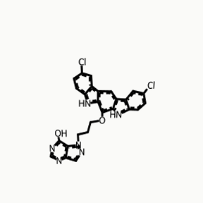 Oc1ncnc2cnn(CCCOc3c4[nH]c5ccc(Cl)cc5c4cc4c3[nH]c3ccc(Cl)cc34)c12